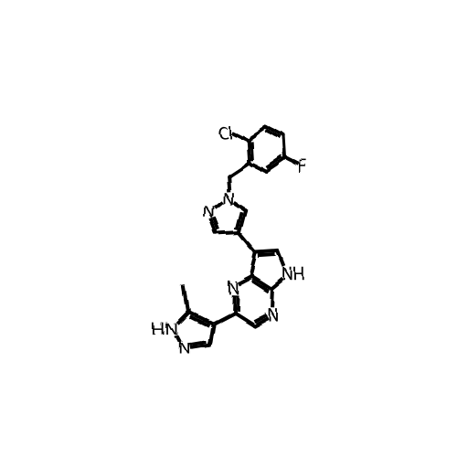 Cc1[nH]ncc1-c1cnc2[nH]cc(-c3cnn(Cc4cc(F)ccc4Cl)c3)c2n1